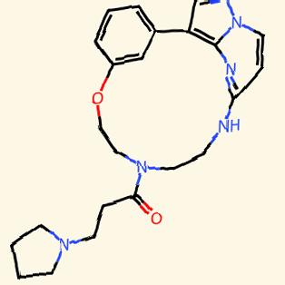 O=C(CCN1CCCC1)N1CCNc2ccn3ncc(c3n2)-c2cccc(c2)OCC1